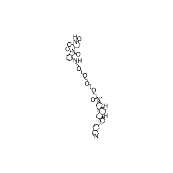 CN(C(=O)CCOCCOCCOCCOCCNc1cccc2c1C(=O)N(C1CCC(=O)NC1=O)C2=O)[C@H]1CC[C@]2(C)C3CC[C@]4(C)[C@@H](C5C=Cc6ccncc6C5)CC[C@H]4C3CC[C@H]2C1